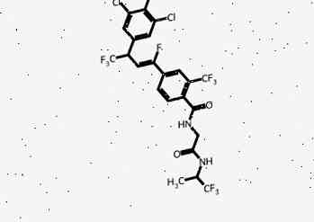 CC(NC(=O)CNC(=O)c1ccc(/C(F)=C/C(c2cc(Cl)c(Cl)c(Cl)c2)C(F)(F)F)cc1C(F)(F)F)C(F)(F)F